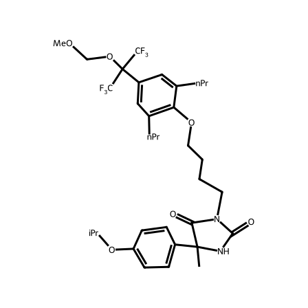 CCCc1cc(C(OCOC)(C(F)(F)F)C(F)(F)F)cc(CCC)c1OCCCCN1C(=O)NC(C)(c2ccc(OC(C)C)cc2)C1=O